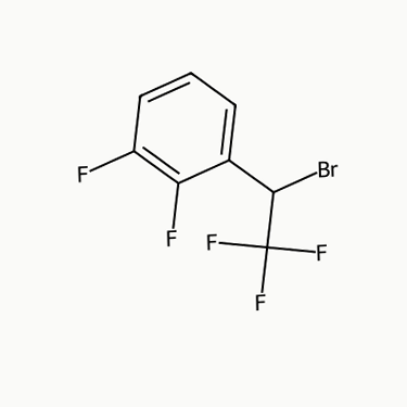 Fc1cccc(C(Br)C(F)(F)F)c1F